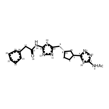 CC(=O)Nc1nnc(C2CC[C@H](Cc3nnc(NC(=O)Cc4ccccc4)s3)C2)s1